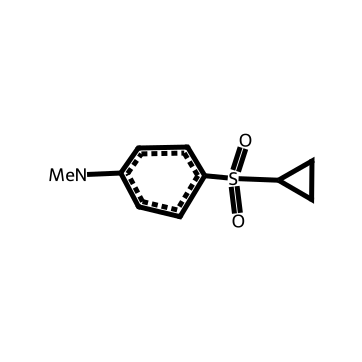 CNc1ccc(S(=O)(=O)C2CC2)cc1